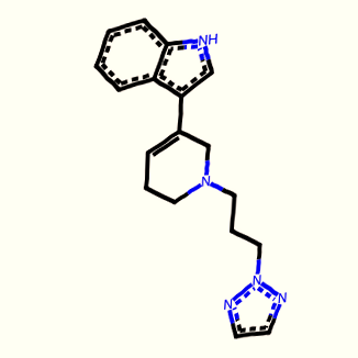 C1=C(c2c[nH]c3ccccc23)CN(CCCn2nccn2)CC1